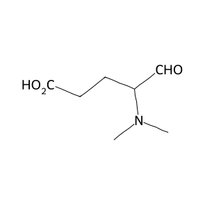 CN(C)C(C=O)CCC(=O)O